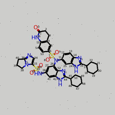 O=C1CCc2cc(S(=O)(=O)N(c3ccc4nc(C5CCCCC5)[nH]c4c3)c3cc(NS(=O)(=O)c4cnc5n4CCC5)cc4[nH]c(C5CCCCC5)nc34)ccc2N1